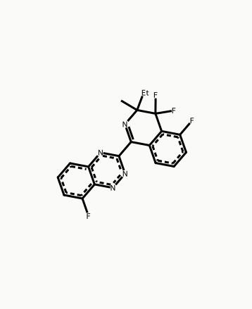 CCC1(C)N=C(c2nnc3c(F)cccc3n2)c2cccc(F)c2C1(F)F